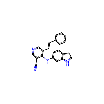 N#Cc1cncc(/C=C/c2ccccc2)c1Nc1ccc2cc[nH]c2c1